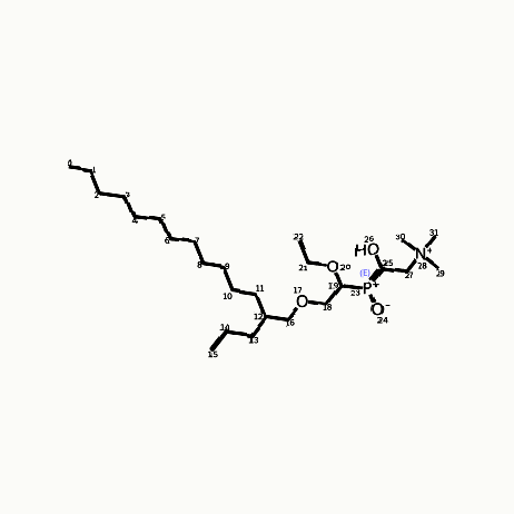 CCCCCCCCCCCCC(CCC)COCC(OCC)/[P+]([O-])=C(\O)C[N+](C)(C)C